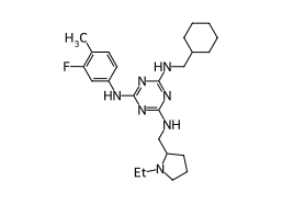 CCN1CCCC1CNc1nc(NCC2CCCCC2)nc(Nc2ccc(C)c(F)c2)n1